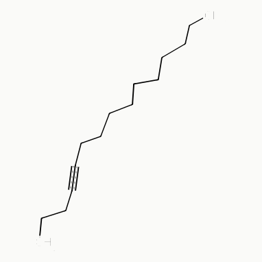 [CH2]CCC#CCCCCCCCCCC